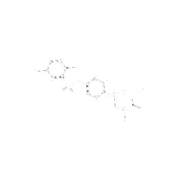 Cc1ccc(C)c(S(=O)(=O)Oc2ccc(C(O)CN(C)C(=O)OC(C)(C)C)cc2)c1